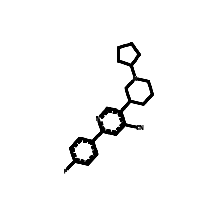 N#Cc1cc(-c2ccc(F)cc2)ncc1C1CCCN(C2CCCC2)C1